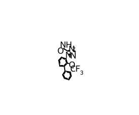 NC(=O)c1ncnn1-c1cccc(-c2ccccc2)c1OC(F)(F)F